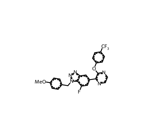 COc1ccc(Cn2nnc3cc(-c4nccnc4Oc4ccc(C(F)(F)F)cc4)cc(F)c32)cc1